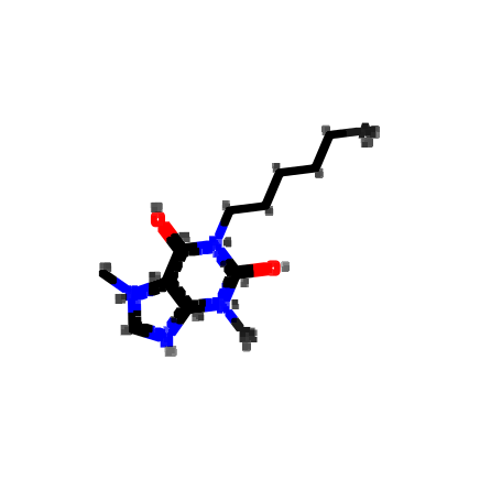 CCn1c(=O)n(CCCCCC(C)=O)c(=O)c2c1ncn2C